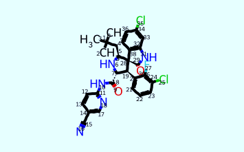 CC(C)(C)C[C@@H]1N[C@@H](C(=O)Nc2ccc(C#N)cn2)[C@H](c2cccc(Cl)c2F)[C@]12C(=O)Nc1cc(Cl)ccc12